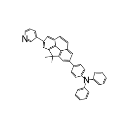 CC1(C)c2cc(-c3ccc(N(c4ccccc4)c4ccccc4)cc3)cc3ccc4cc(-c5cccnc5)cc1c4c23